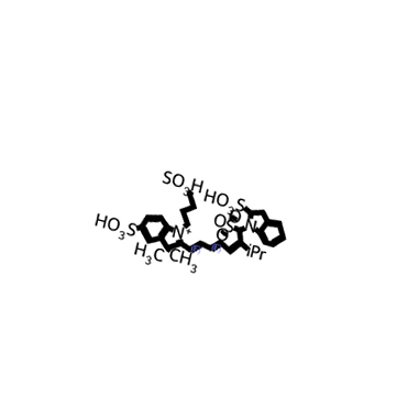 CC(C)C(=C/C=C/C=C/C1=[N+](CCCCS(=O)(=O)O)c2ccc(S(=O)(=O)O)cc2C1(C)C)C(N1c2ccccc2CC1S(=O)(=O)O)S(=O)(=O)[O-]